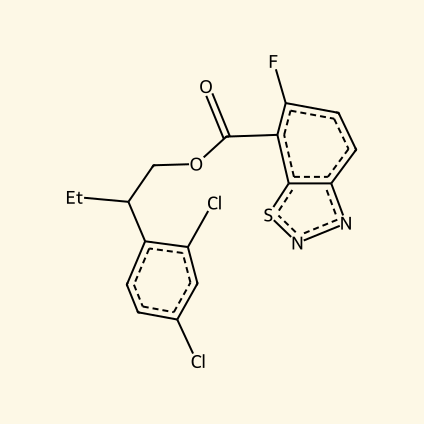 CCC(COC(=O)c1c(F)ccc2nnsc12)c1ccc(Cl)cc1Cl